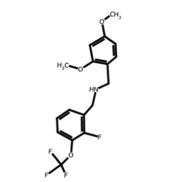 COc1ccc(CNCc2cccc(OC(F)(F)F)c2F)c(OC)c1